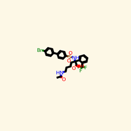 CC(=O)NCCCCC(NS(=O)(=O)c1ccc(-c2ccc(Br)cc2)cc1)(C(=O)O)c1ccccc1C(F)(F)F